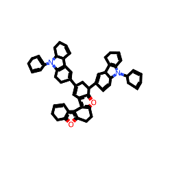 C1=CCC(N2C3=C(CCC=C3)C3C=C(C4CC(C5=CC6=C(CC5)N(C5=CCCC=C5)C5CCC=CC65)=Cc5c4oc4c5-c5c(oc6c5C=CCC6)CC4)C=CC32)C=C1